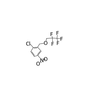 O=[N+]([O-])c1ccc(Cl)c(COCC(F)(F)C(F)(F)F)c1